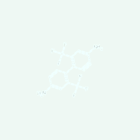 Nc1c#cc(-c2ccc(N)cc2C(F)(F)F)c(C(F)(F)F)c1